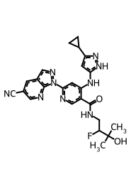 CC(C)(O)C(F)CNC(=O)c1cnc(-n2ncc3cc(C#N)cnc32)cc1Nc1cc(C2CC2)n[nH]1